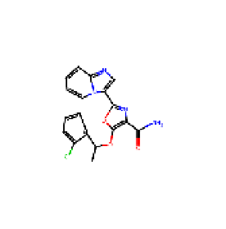 CC(Oc1oc(-c2cnc3ccccn23)nc1C(N)=O)c1ccccc1Cl